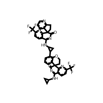 O=C1N=C(NC2CC2c2cccc3c2OCCC32C(=O)N=C(NC3CC3)c3ccc(C(F)(F)F)nc32)c2ccc(C(F)(F)F)nc2C12CCc1ncccc12